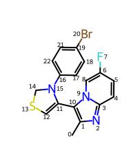 Cc1nc2ccc(F)cn2c1C1=CSCN1c1ccc(Br)cc1